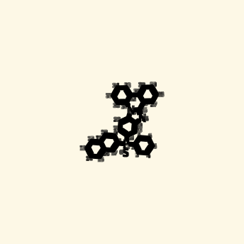 S=P(c1ccccc1)(c1ccc2ccccc2c1)c1ccc2c(c1)nc1c3ccccc3c3ccccc3n21